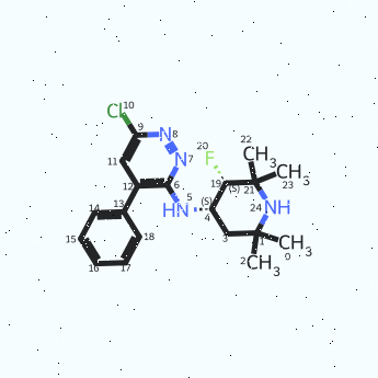 CC1(C)C[C@H](Nc2nnc(Cl)cc2-c2ccccc2)[C@H](F)C(C)(C)N1